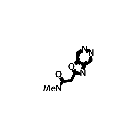 CNC(=O)Cc1nc2cnncc2o1